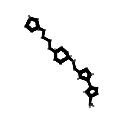 Cc1ccc(-c2nc(COc3ccc(CCCCn4ccnc4)cc3)cs2)s1